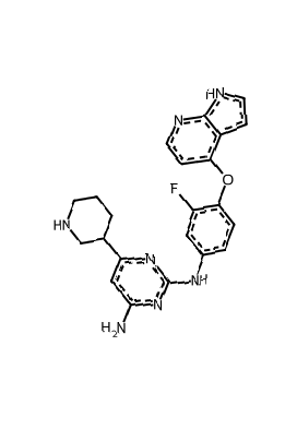 Nc1cc(C2CCCNC2)nc(Nc2ccc(Oc3ccnc4[nH]ccc34)c(F)c2)n1